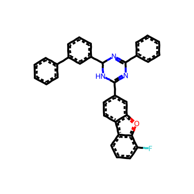 Fc1cccc2c1oc1cc(C3=NC(c4ccccc4)=NC(c4cccc(-c5ccccc5)c4)N3)ccc12